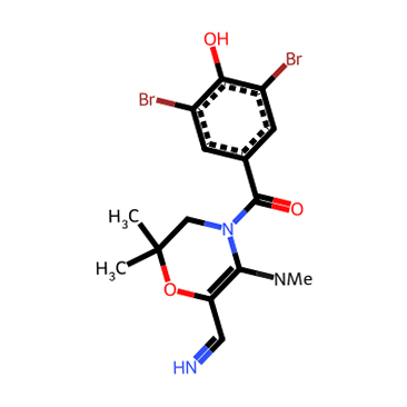 CNC1=C(C=N)OC(C)(C)CN1C(=O)c1cc(Br)c(O)c(Br)c1